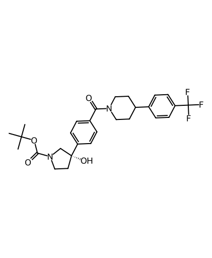 CC(C)(C)OC(=O)N1CC[C@](O)(c2ccc(C(=O)N3CCC(c4ccc(C(F)(F)F)cc4)CC3)cc2)C1